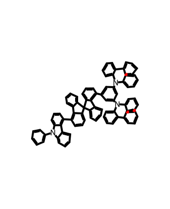 c1ccc(-c2ccccc2N(c2ccccc2)c2cc(-c3cccc4c3-c3ccccc3C43c4ccccc4-c4c(-c5cccc6c5c5ccccc5n6-c5ccccc5)cccc43)cc(N(c3ccccc3)c3ccccc3-c3ccccc3)c2)cc1